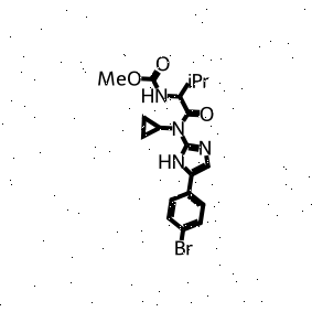 COC(=O)NC(C(=O)N(c1ncc(-c2ccc(Br)cc2)[nH]1)C1CC1)C(C)C